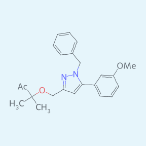 COc1cccc(-c2cc(COC(C)(C)C(C)=O)nn2Cc2ccccc2)c1